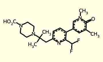 Cc1cc(-c2ccc(CC(C)(C)N3CCN(C(=O)O)CC3)nc2C(F)F)cn(C)c1=O